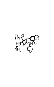 CCNC(=O)c1c(NCCN)nc(NC2CCOCC2)n1Cc1cc(Br)c2c(c1)CCO2